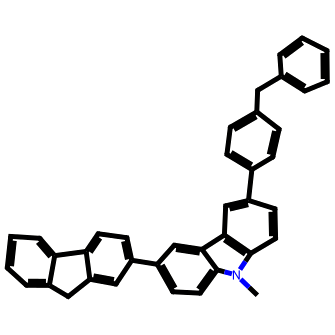 Cn1c2ccc(-c3ccc(Cc4ccccc4)cc3)cc2c2cc(-c3ccc4c(c3)Cc3ccccc3-4)ccc21